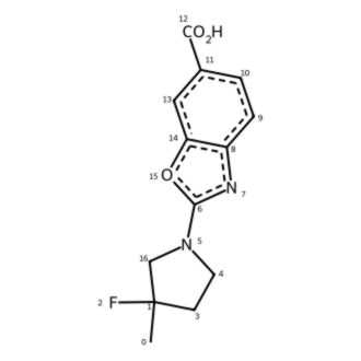 CC1(F)CCN(c2nc3ccc(C(=O)O)cc3o2)C1